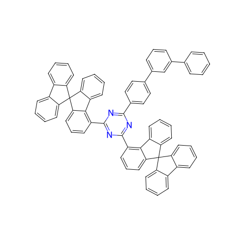 c1ccc(-c2cccc(-c3ccc(-c4nc(-c5cccc6c5-c5ccccc5C65c6ccccc6-c6ccccc65)nc(-c5cccc6c5-c5ccccc5C65c6ccccc6-c6ccccc65)n4)cc3)c2)cc1